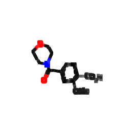 COc1cc(C(=O)N2CCOCC2)ccc1C(=O)O